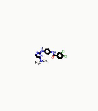 CN(C)c1ccnc(NC2CCC(NC(=O)c3ccc(Cl)c(Cl)c3)CC2)n1